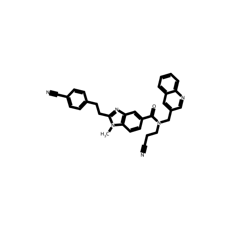 Cn1c(CCc2ccc(C#N)cc2)nc2cc(C(=O)N(CCC#N)Cc3cnc4ccccc4c3)ccc21